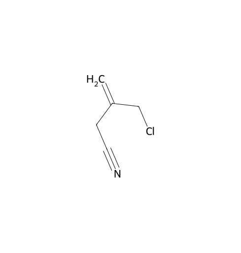 C=C(CCl)CC#N